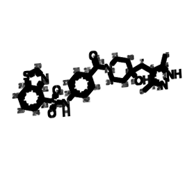 Cc1n[nH]c(C)c1CC1(O)CCN(C(=O)c2ccc(NS(=O)(=O)c3cccc4scnc34)cc2)CC1